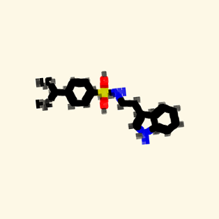 CC(C)c1ccc(S(=O)(=O)NCCc2c[nH]c3ccccc23)cc1